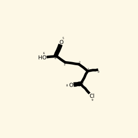 CC(CCC(=O)O)C(=O)Cl